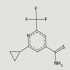 NC(=S)c1cc(C2CC2)nc(C(F)(F)F)c1